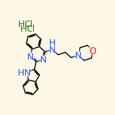 Cl.Cl.c1ccc2[nH]c(-c3nc(NCCCN4CCOCC4)c4ccccc4n3)cc2c1